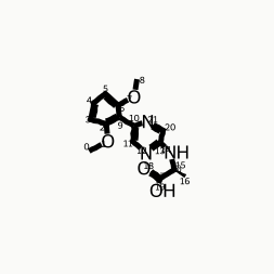 COc1cccc(OC)c1-c1cnc(N[C@@H](C)C(=O)O)cn1